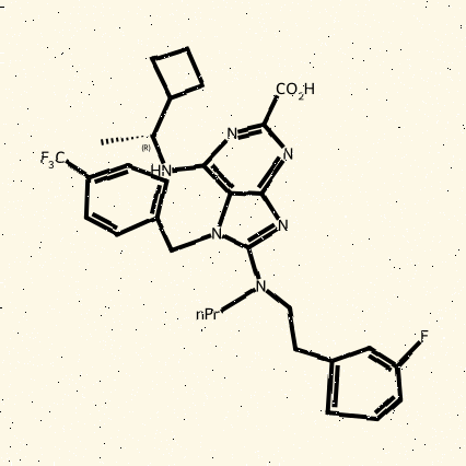 CCCN(CCc1cccc(F)c1)c1nc2nc(C(=O)O)nc(N[C@H](C)C3CCC3)c2n1Cc1ccc(C(F)(F)F)cc1